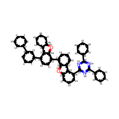 c1ccc(-c2cccc(-c3ccc(-c4cccc5c4oc4cccc(-c6nc(-c7ccccc7)nc(-c7ccccc7)n6)c45)c4oc5ccccc5c34)c2)cc1